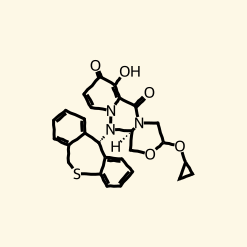 O=C1c2c(O)c(=O)ccn2N([C@H]2c3ccccc3CSc3ccccc32)[C@@H]2COC(OC3CC3)CN12